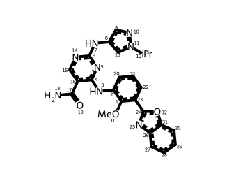 COc1c(Nc2nc(Nc3cnn(C(C)C)c3)ncc2C(N)=O)cccc1-c1nc2ccccc2o1